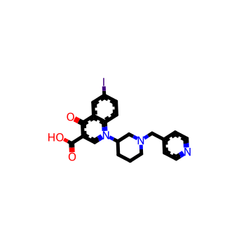 O=C(O)c1cn(C2CCCN(Cc3ccncc3)C2)c2ccc(I)cc2c1=O